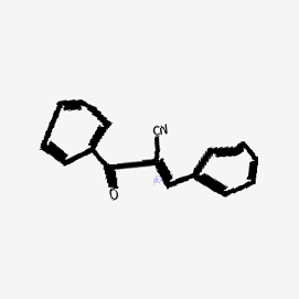 N#C/C(=C\c1ccccc1)C(=O)c1ccccc1